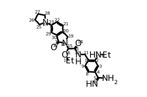 CCNc1cc(C(=N)N)ccc1CNC(=O)C(OCC)N1Cc2ccc(N3CCCC3)cc2C1=O